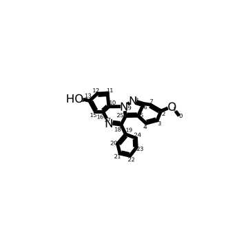 COc1ccc2c(c1)nn1c3ccc(O)cc3nc(-c3ccccc3)c21